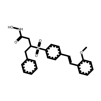 COc1ccccc1/C=C/c1ccc(S(=O)(=O)C(CC(=O)NO)Cc2ccccc2)cc1